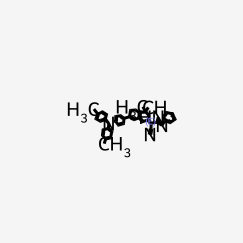 Cc1ccc(N(c2ccc(C)cc2)c2ccc(C3=CC4=C/C(=C(\C#N)c5nc6ccccc6[nH]5)CC(C)(C)C4CC3)cc2)cc1